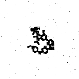 CCN1CCC(Sc2ccc(Nc3nccc(-c4cc(F)c5nc(C)n(C(C)C)c5c4)n3)nc2)CC1.CS(=O)(=O)O